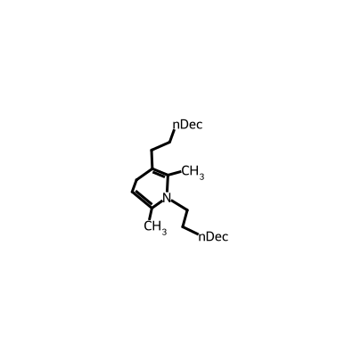 CCCCCCCCCCCCC1=C(C)N(CCCCCCCCCCCC)C(C)=CC1